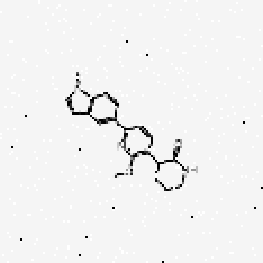 COc1nc(-c2ccc3c(ccn3C)c2)ccc1C1CCCNC1=O